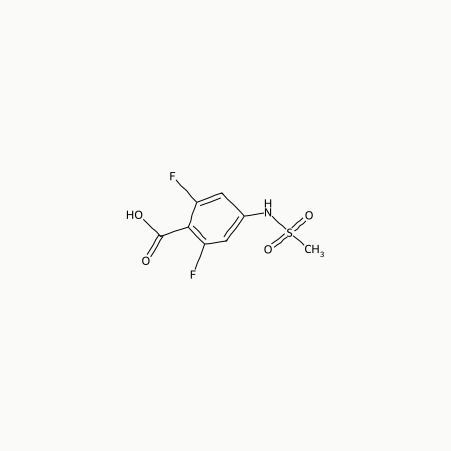 CS(=O)(=O)Nc1cc(F)c(C(=O)O)c(F)c1